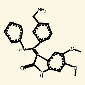 COc1cc2c(cc1OC)/C(=C(/Nc1ccccc1)c1cccc(CN)c1)C(=O)N2